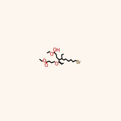 C/C=C(/OCCCC(=O)OCC)C(CCC(O)OCC)C(CC)CCCCCCBr